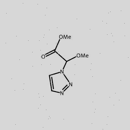 COC(=O)C(OC)n1ccnn1